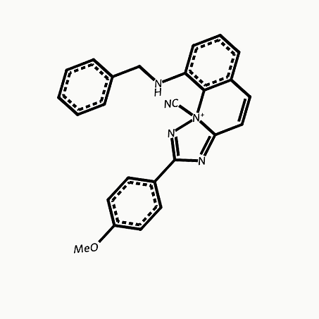 COc1ccc(C2=N[N+]3(C#N)C(=N2)C=Cc2cccc(NCc4ccccc4)c23)cc1